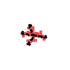 C=C(C)C(=O)OCC(O)COCC(O)C(OCC(O)COC(=O)C(=C)C)C(COCC(O)COC(=O)C(=C)C)OCC(O)COC(=O)C(=C)C